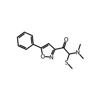 CSC(C(=O)c1cc(-c2ccccc2)on1)N(C)C